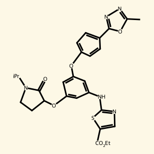 CCOC(=O)c1cnc(Nc2cc(Oc3ccc(-c4nnc(C)o4)cc3)cc(OC3CCN(C(C)C)C3=O)c2)s1